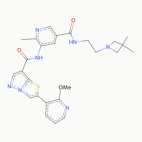 COc1ncccc1-c1cn2ncc(C(=O)Nc3cc(C(=O)NCCN4CC(C)(C)C4)cnc3C)c2s1